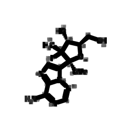 CO[C@@]1(c2cnc3c(N)ncnn23)O[C@H](CO)[C@@H](O)[C@@]1(C)F